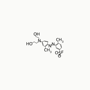 Cc1cc(N(CCO)CCO)ccc1N=Nc1cc(S(=O)(=O)F)ccc1C